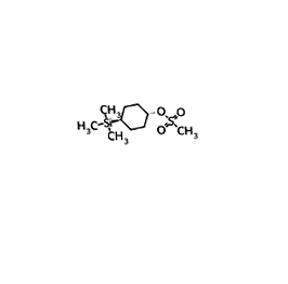 C[Si](C)(C)[C@H]1CC[C@H](OS(C)(=O)=O)CC1